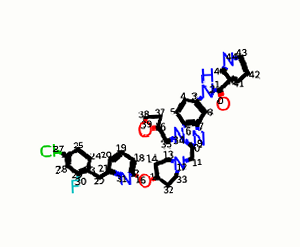 O=C(Nc1ccc2c(c1)nc(CN1CCC(Oc3cccc(Cc4ccc(Cl)cc4F)n3)CC1)n2CC1CCO1)c1cccnc1